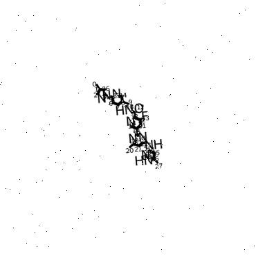 Cc1cnn(-c2ccc(CNC(=O)c3ncc(-c4nc(C)cc(Nc5cc(C)[nH]n5)n4)cc3F)cn2)c1